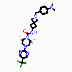 C[C@@H]1CN(c2ncc(C(F)(F)F)cn2)C[C@H](C)N1C(=O)NC1CC2(C1)CN(Cc1ccc(N(C)C)cc1)C2